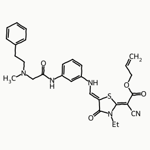 C=CCOC(=O)C(C#N)=c1sc(=CNc2cccc(NC(=O)CN(C)CCc3ccccc3)c2)c(=O)n1CC